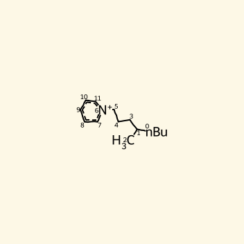 CCCCC(C)CCC[n+]1ccccc1